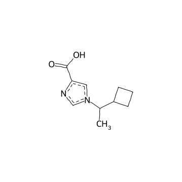 CC(C1CCC1)n1cnc(C(=O)O)c1